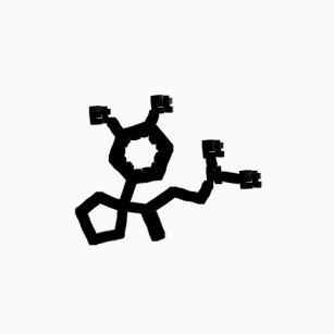 C=C(CCN(CC)CC)C1(c2ccc(CC)c(CC)c2)CCCC1